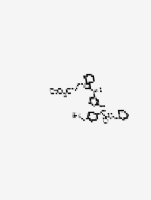 CCOC(=O)CCCn1cc(C(=O)c2cccc(OC(C(=O)OCc3ccccc3)c3ccc(CC(C)C)cc3)c2)c2ccccc21